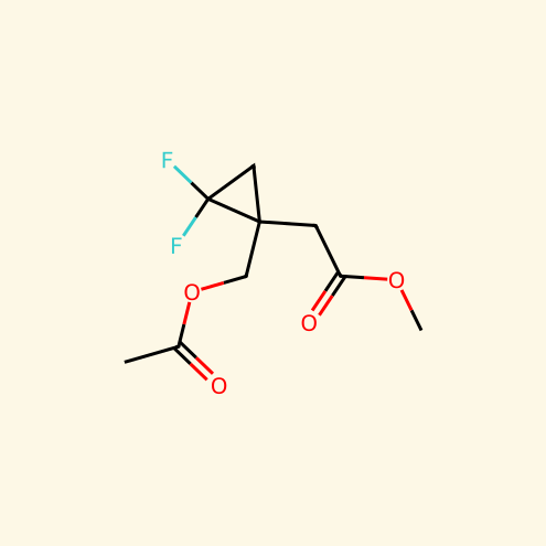 COC(=O)CC1(COC(C)=O)CC1(F)F